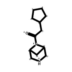 O=C(CC1CCCC1)N1C2CNCC1C2